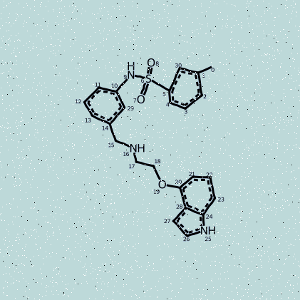 Cc1cccc(S(=O)(=O)Nc2cccc(CNCCOc3cccc4[nH]ccc34)c2)c1